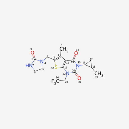 Cc1c(CN2CCNC2=O)sc2c1c(=O)n(C1CC1C)c(=O)n2CC(F)(F)F